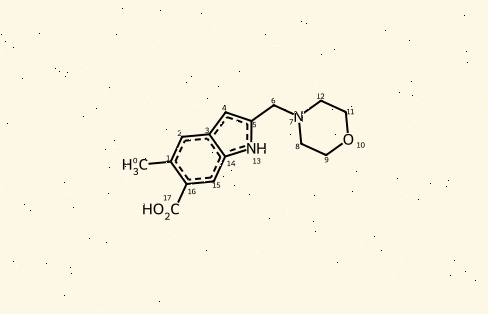 Cc1cc2cc(CN3CCOCC3)[nH]c2cc1C(=O)O